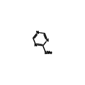 [CH2]Sc1ncncn1